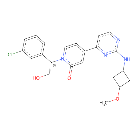 COC1CC(Nc2nccc(-c3ccn([C@H](CO)c4cccc(Cl)c4)c(=O)c3)n2)C1